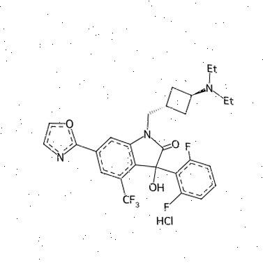 CCN(CC)[C@H]1C[C@H](CN2C(=O)C(O)(c3c(F)cccc3F)c3c2cc(-c2ncco2)cc3C(F)(F)F)C1.Cl